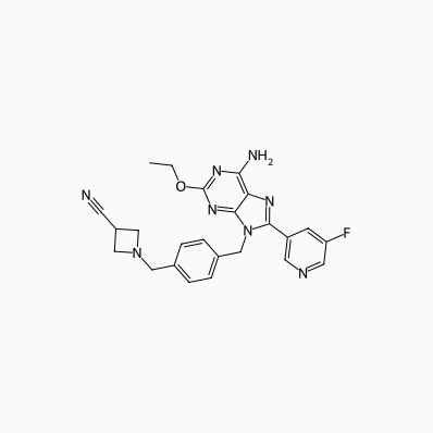 CCOc1nc(N)c2nc(-c3cncc(F)c3)n(Cc3ccc(CN4CC(C#N)C4)cc3)c2n1